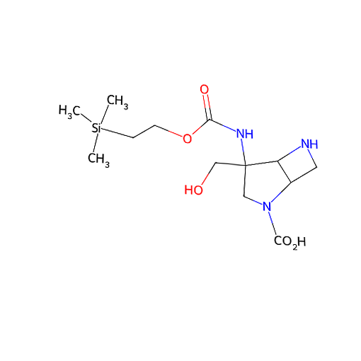 C[Si](C)(C)CCOC(=O)NC1(CO)CN(C(=O)O)C2CNC21